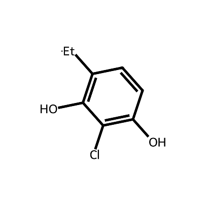 C[CH]c1ccc(O)c(Cl)c1O